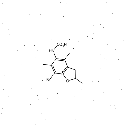 Cc1c(Br)c2c(c(C)c1NC(=O)O)CC(C)O2